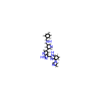 Cc1cn(-c2cccc3[nH]c(-c4n[nH]c5ncc(-c6cncc(CNCc7ccccc7)c6)cc45)nc23)cn1